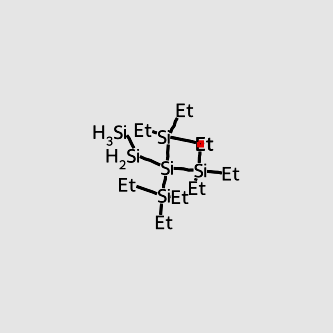 CC[Si](CC)(CC)[Si]([SiH2][SiH3])([Si](CC)(CC)CC)[Si](CC)(CC)CC